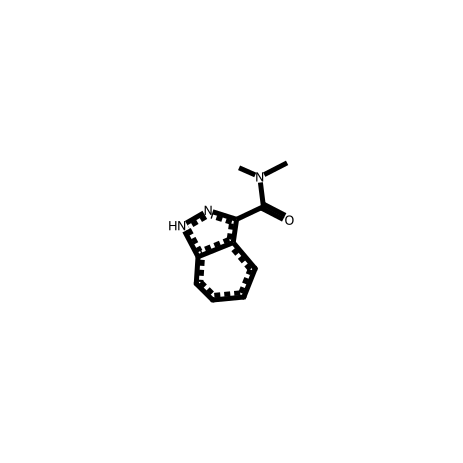 CN(C)C(=O)c1n[nH]c2ccccc12